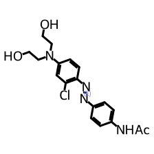 CC(=O)Nc1ccc(/N=N/c2ccc(N(CCO)CCO)cc2Cl)cc1